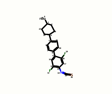 CCCCC1CCC(c2ccc(-c3cc(F)c(N=C=S)cc3F)cc2)CC1